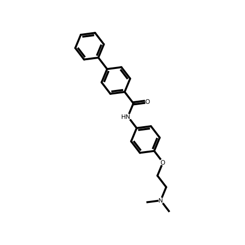 CN(C)CCOc1ccc(NC(=O)c2ccc(-c3ccccc3)cc2)cc1